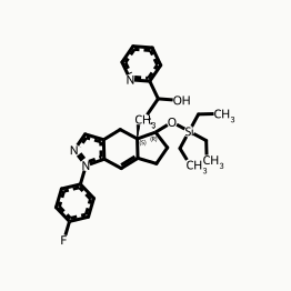 CC[Si](CC)(CC)O[C@@]1(CC(O)c2ccccn2)CCC2=Cc3c(cnn3-c3ccc(F)cc3)C[C@@]21C